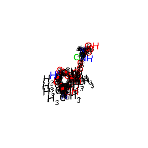 CC[C@H]1OC(=O)[C@H](C)[C@@H](O[C@H]2C[C@@](C)(OC)[C@@H](OC(=O)CCOCCOCCNc3cc4c(=O)c(C(=O)O)cn(C5CC5)c4cc3Cl)[C@H](C)O2)[C@H](C)[C@@H](O[C@@H]2O[C@H](C)C[C@H](N(C)C)[C@H]2O)[C@](C)(OC)C[C@@H](C)C(=O)[C@H](C)[C@H]2NC(=O)O[C@@]21C